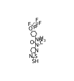 CCN(C(=O)Nc1ccc(OC(F)(F)CC(F)(F)F)cc1)c1ccc2nc(S)sc2n1